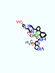 COc1cc(C(=O)Nc2cccc(-c3cccc(-c4cnc(CN5CC(O)C5)c(OC)n4)c3Cl)c2Cl)nc2c1CCNC2